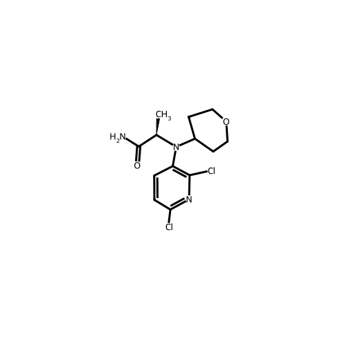 C[C@H](C(N)=O)N(c1ccc(Cl)nc1Cl)C1CCOCC1